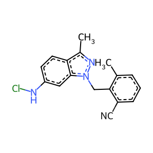 Cc1cccc(C#N)c1Cn1nc(C)c2ccc(NCl)cc21